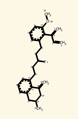 C=CC(=C)c1c(CCC(F)CCc2cccc3c2C(=C)CC(C)C3)cccc1OC